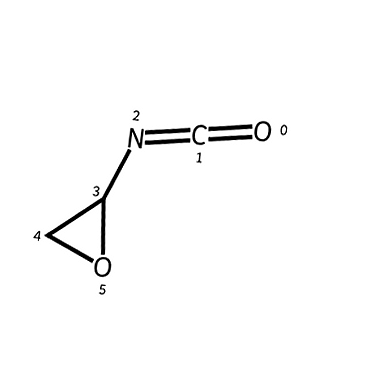 O=C=NC1CO1